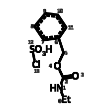 CCNC(=O)OCc1ccccc1.O=S(=O)(O)Cl